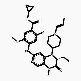 CC=CN1CCC(N2c3nc(Nc4cc(F)c(C(=O)NC5CC5)cc4OC)ncc3N(C)C(=O)[C@H]2CC)CC1